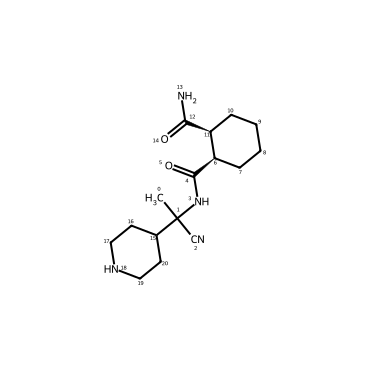 CC(C#N)(NC(=O)[C@@H]1CCCC[C@@H]1C(N)=O)C1CCNCC1